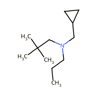 CCCN(CC1CC1)CC(C)(C)C